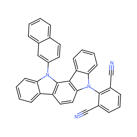 N#Cc1cccc(C#N)c1-n1c2ccccc2c2c1ccc1c3ccccc3n(-c3ccc4ccccc4c3)c12